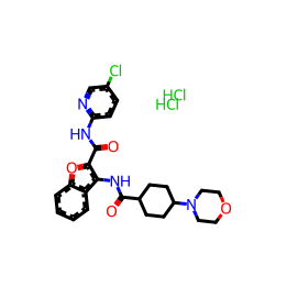 Cl.Cl.O=C(Nc1ccc(Cl)cn1)c1oc2ccccc2c1NC(=O)C1CCC(N2CCOCC2)CC1